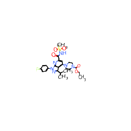 CCOC(=O)N1CCN(c2cc(C(=O)NS(C)(=O)=O)nc3c2c(C(C)C)nn3-c2ccc(F)cc2)CC1